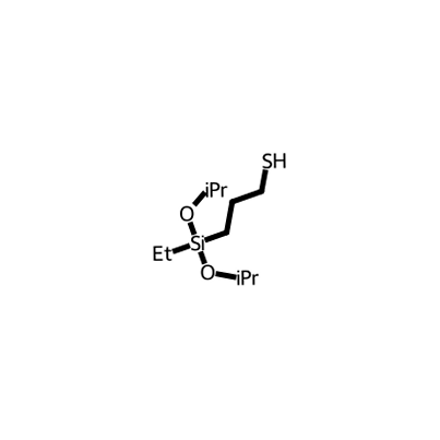 CC[Si](CCCS)(OC(C)C)OC(C)C